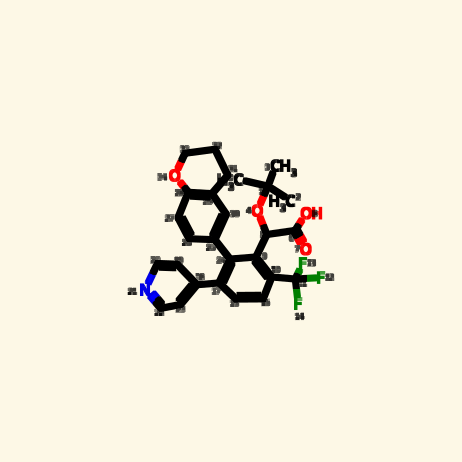 CC(C)(C)OC(C(=O)O)c1c(C(F)(F)F)ccc(-c2ccncc2)c1-c1ccc2c(c1)CCCO2